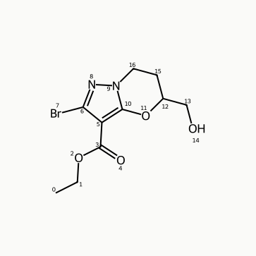 CCOC(=O)c1c(Br)nn2c1OC(CO)CC2